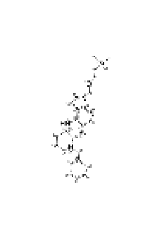 C[Si](C)(C)CCOCn1ccc2c(N[C@@H]3CCCN(Cc4ccccc4)C3)c(Br)cnc21